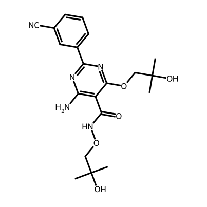 CC(C)(O)CONC(=O)c1c(N)nc(-c2cccc(C#N)c2)nc1OCC(C)(C)O